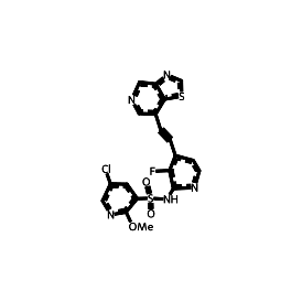 COc1ncc(Cl)cc1S(=O)(=O)Nc1nccc(C#Cc2cncc3ncsc23)c1F